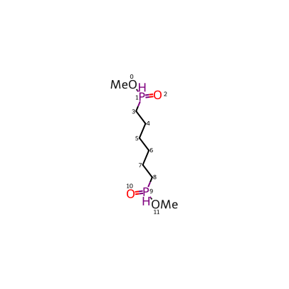 CO[PH](=O)CCCCCC[PH](=O)OC